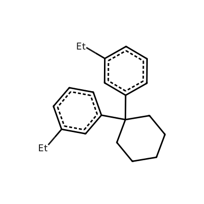 CCc1cccc(C2(c3cccc(CC)c3)CCCCC2)c1